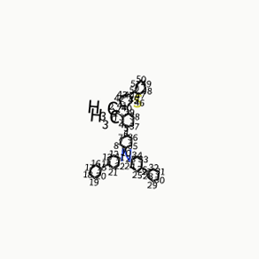 CC1(C)c2cc(-c3ccc(N(c4ccc(-c5ccccc5)cc4)c4ccc(-c5ccccc5)cc4)cc3)ccc2-c2c1ccc1c2sc2ccccc21